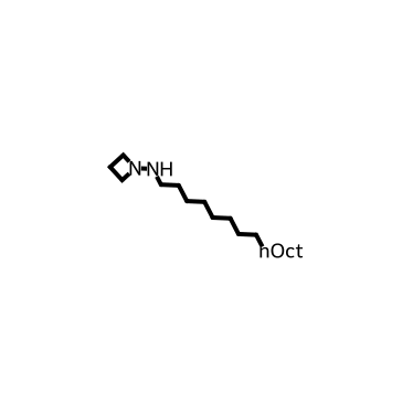 CCCCCCCCCCCCCCCCNN1CCC1